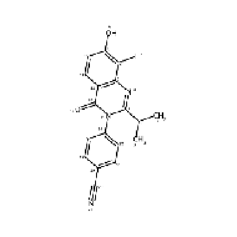 CC(C)c1nc2c(I)c(O)ccc2c(=O)n1-c1ccc(C#N)cc1